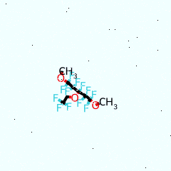 COC(F)(F)C(F)(F)C(F)(OCC(F)(F)F)C(F)(F)C(F)(F)OC